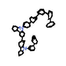 c1ccc(-c2cccc(-c3cccc(-c4ccc(-c5ccc(-n6c7ccccc7c7cc(-c8ccc9c%10ccccc%10n(-c%10cccc(-c%11ccccc%11)c%10)c9c8)ccc76)cc5)cc4)c3)c2)cc1